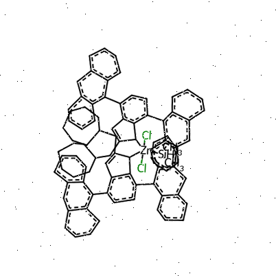 C[SiH](C)[Zr]([Cl])([Cl])([CH]1C(CC2CCCCCC2)=Cc2c(-c3c4ccccc4cc4ccccc34)ccc(-c3c4ccccc4cc4ccccc34)c21)[CH]1C(CC2CCCCCC2)=Cc2c(-c3c4ccccc4cc4ccccc34)ccc(-c3c4ccccc4cc4ccccc34)c21